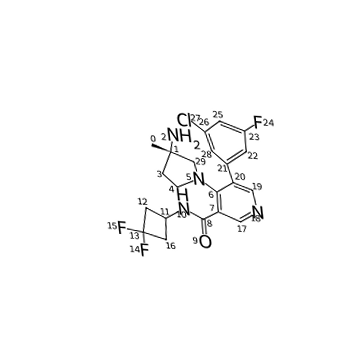 C[C@]1(N)CCN(c2c(C(=O)NC3CC(F)(F)C3)cncc2-c2cc(F)cc(Cl)c2)C1